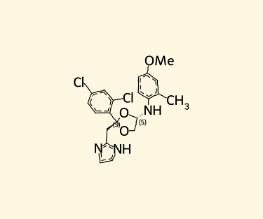 COc1ccc(N[C@@H]2CO[C@](Cc3ncc[nH]3)(c3ccc(Cl)cc3Cl)O2)c(C)c1